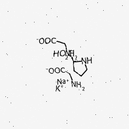 NCC(=O)[O-].NCC(=O)[O-].O=C(O)[C@@H]1CCCN1.[K+].[Na+]